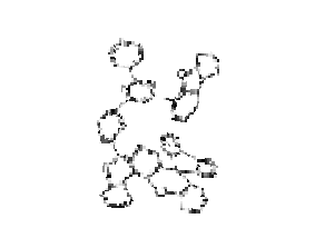 c1ccc(-c2nc(-c3cccc(-c4nc5ccccc5c5c6c(ccc45)C4(c5ccccc5O6)c5ccccc5-c5ccccc54)c3)cc(-c3cccc4c3oc3ccccc34)n2)cc1